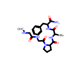 CCCCC(NC(=O)C1CCCN1C(=O)CNC(=O)CNC=O)C(=O)NC(Cc1ccccc1)C(N)=O